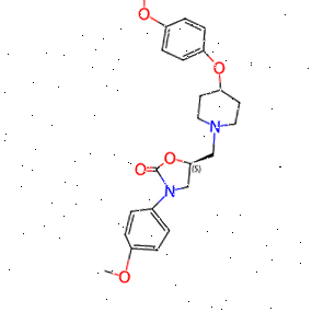 COc1ccc(OC2CCN(C[C@H]3CN(c4ccc(OC)cc4)C(=O)O3)CC2)cc1